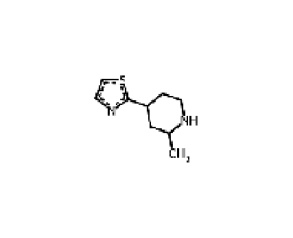 CC1CC(c2nccs2)CCN1